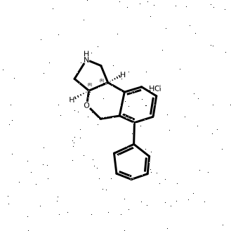 Cl.c1ccc(-c2cccc3c2CO[C@H]2CNC[C@@H]32)cc1